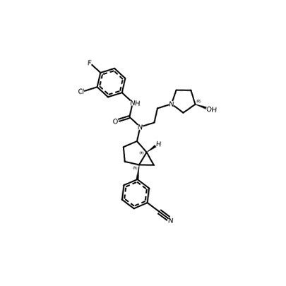 N#Cc1cccc([C@@]23CCC(N(CCN4CC[C@@H](O)C4)C(=O)Nc4ccc(F)c(Cl)c4)[C@@H]2C3)c1